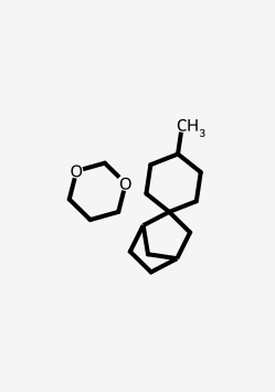 C1COCOC1.CC1CCC2(CC1)CC1CCC2C1